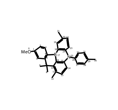 COc1ccc2c(c1)C(C)(C)c1c(C)ccc3c1B2c1cc(C)ccc1N3c1ccc(C)cc1